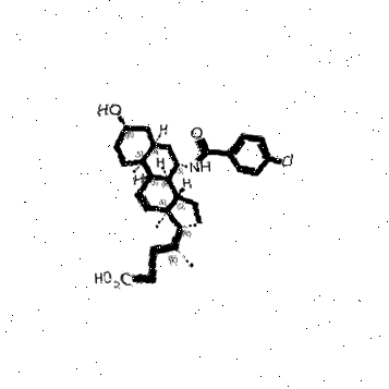 C[C@H](CCC(=O)O)[C@H]1CC[C@H]2[C@@H]3[C@@H](NC(=O)c4ccc(Cl)cc4)C[C@@H]4C[C@H](O)CC[C@]4(C)[C@H]3CC[C@]12C